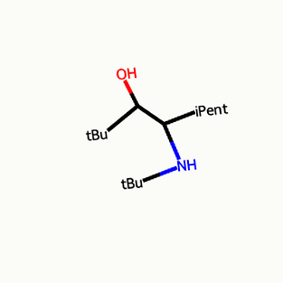 CCCC(C)C(NC(C)(C)C)C(O)C(C)(C)C